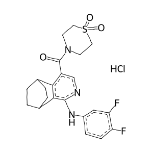 Cl.O=C(c1cnc(Nc2ccc(F)c(F)c2)c2c1C1CCC2CC1)N1CCS(=O)(=O)CC1